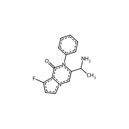 CC(N)c1cn2ccc(F)c2c(=O)n1-c1ccccc1